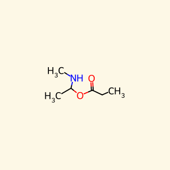 CCC(=O)OC(C)NC